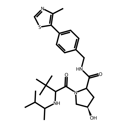 Cc1ncsc1-c1ccc(CNC(=O)C2C[C@@H](O)CN2C(=O)C(NC(C)C(C)C)C(C)(C)C)cc1